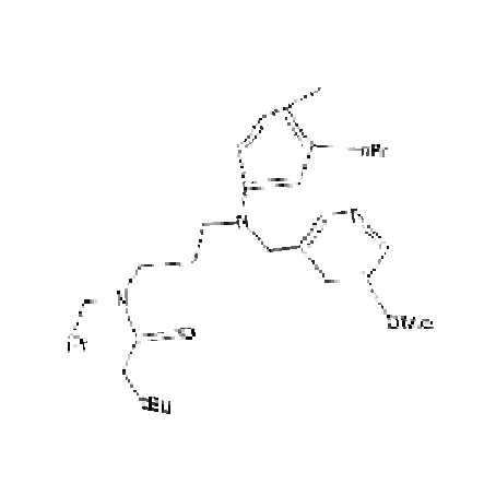 CCCc1cc(N(CCCN(CC(C)C)C(=O)CC(C)(C)C)Cc2cncc(OC)c2)ccc1C